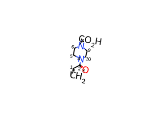 C=CC(=O)N1CCN(C(=O)O)CC1